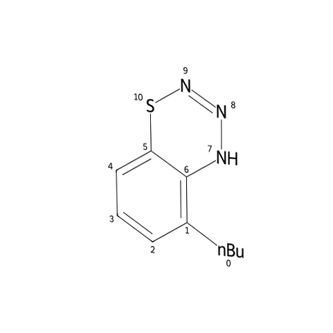 CCCCc1cccc2c1NN=NS2